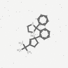 CC(C)(C)C1=CC(O)(c2ccccc2C2(c3ccccc3)OCCO2)CC1